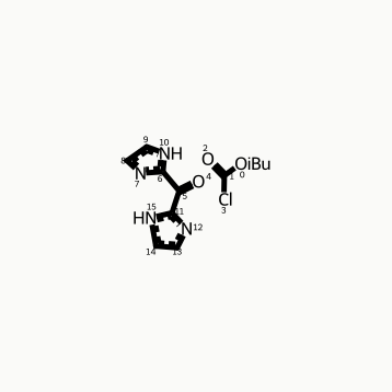 CC(C)COC(=O)Cl.O=C(c1ncc[nH]1)c1ncc[nH]1